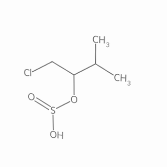 CC(C)C(CCl)OS(=O)O